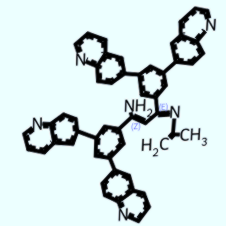 C=C(C)/N=C(\C=C(/N)c1cc(-c2ccc3ncccc3c2)cc(-c2ccc3ncccc3c2)c1)c1cc(-c2ccc3ncccc3c2)cc(-c2ccc3ncccc3c2)c1